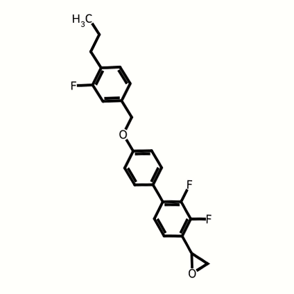 CCCc1ccc(COc2ccc(-c3ccc(C4CO4)c(F)c3F)cc2)cc1F